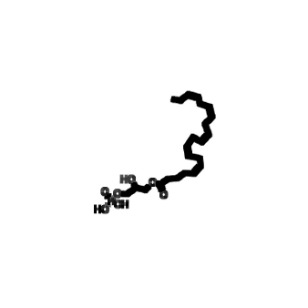 CC/C=C\C/C=C\C/C=C\C/C=C\C/C=C\CCCC(=O)OCC(O)COP(=O)(O)O